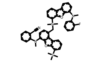 CN(c1ccccc1F)c1cccc2c1oc1c([Si](C)(C)Cc3ccc(N(C)c4ccccc4C#N)c4oc5c([Si](C)(C)C)cccc5c34)cccc12